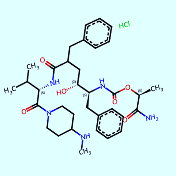 CNC1CCN(C(=O)[C@@H](NC(=O)C(Cc2ccccc2)C[C@@H](O)[C@H](Cc2ccccc2)NC(=O)O[C@@H](C)C(N)=O)C(C)C)CC1.Cl